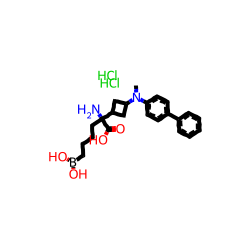 CN(c1ccc(-c2ccccc2)cc1)C1CC(C(N)(CCCCB(O)O)C(=O)O)C1.Cl.Cl